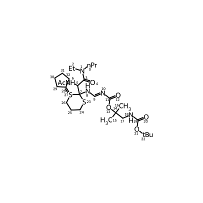 CCCN(CC)C(=O)C(NC(C)=O)C1(NC=NC(=O)OC(C)(C)CNC(=O)OC(C)(C)C)SCCCS1=C1CCCC1